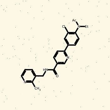 CCN(C(C)=O)c1ccc(-c2ccc(C(=O)NCc3cccnc3C)cn2)cc1Cl